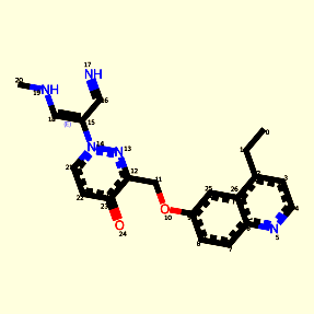 CCc1ccnc2ccc(OCc3nn(/C(C=N)=C/NC)ccc3=O)cc12